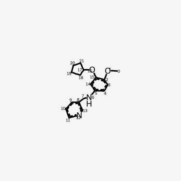 COc1ccc(NCc2cccnc2)cc1OC1CCCC1